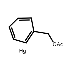 CC(=O)OCc1ccccc1.[Hg]